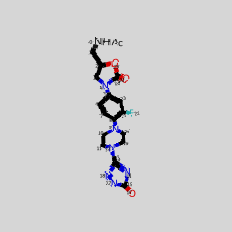 CC(=O)NCC1CN(c2ccc(N3CCN(C4=NC(=O)N=N4)CC3)c(F)c2)C(=O)O1